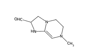 CN1C=C2NC(C=O)CN2CC1